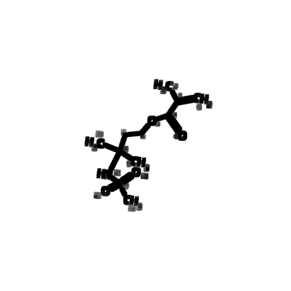 C=C(C)C(=O)OCCC(C)(C)NS(C)(=O)=O